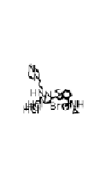 CN1CCCN(CCCNc2ncc(Br)c(-c3cc4c(C(=O)NC5CC5)cccc4s3)n2)CC1.Cl.Cl.Cl